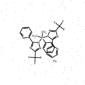 CP(C)(c1ccccc1)(n1nc(C(F)(F)F)nc1-c1ccccn1)n1nc(C(F)(F)F)nc1-c1ccccn1.[Os]